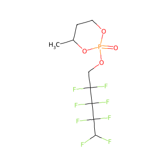 CC1CCOP(=O)(OCC(F)(F)C(F)(F)C(F)(F)C(F)F)O1